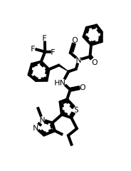 CCCc1sc(C(=O)N[C@@H](Cc2ccccc2C(F)(F)F)CN(C=O)C(=O)c2ccccc2)cc1-c1c(C)cnn1C